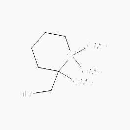 COC1(CC(C)C)CCCC[Si]1(OC)OC